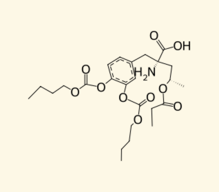 CCCCOC(=O)Oc1ccc(C[C@](N)(C[C@H](C)OC(=O)CC)C(=O)O)cc1OC(=O)OCCCC